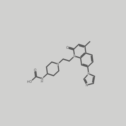 Cc1cc(=O)n(CCN2CCC(NC(=O)O)CC2)c2cc(-n3ccnc3)ccc12